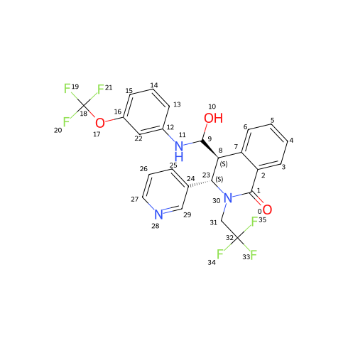 O=C1c2ccccc2[C@H](C(O)Nc2cccc(OC(F)(F)F)c2)[C@@H](c2cccnc2)N1CC(F)(F)F